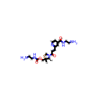 C[C@@H]1N(C(=O)/C=C/c2cc(C(=O)NCCN)ccn2)CSC1(C)COC(=O)NCCN